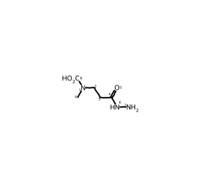 CN(CCC(=O)NN)C(=O)O